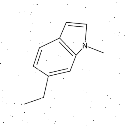 [CH2]Cc1ccc2ccn(C)c2c1